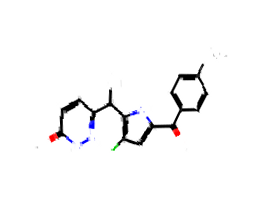 COc1ccc(C(=O)c2cc(Cl)c(C(C)c3ccc(=O)[nH]n3)[nH]2)cc1